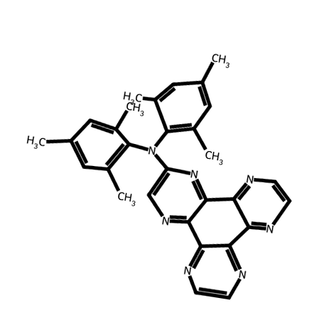 Cc1cc(C)c(N(c2cnc3c4nccnc4c4nccnc4c3n2)c2c(C)cc(C)cc2C)c(C)c1